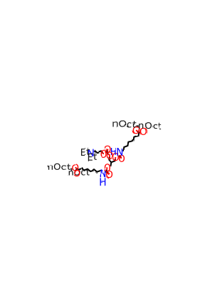 CCCCCCCCC(CCCCCCCC)OC(=O)CCCCCCCNC(=O)OCC(COC(=O)NCCCCCCCC(=O)OC(CCCCCCCC)CCCCCCCC)COC(=O)OCCCN(CC)CC